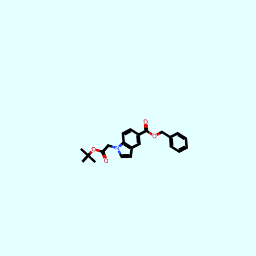 CC(C)(C)OC(=O)Cn1ccc2cc(C(=O)OCc3ccccc3)ccc21